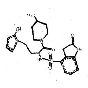 CC1CCN(C(=O)C(CCn2cccc2C#N)NS(=O)(=O)c2cccc3c2CC(=O)N3)CC1